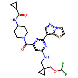 O=C(NC1CCN(C(=O)c2cc(NCC3(COC(F)F)CC3)nc(-c3cnn4ccsc34)n2)CC1)C1CC1